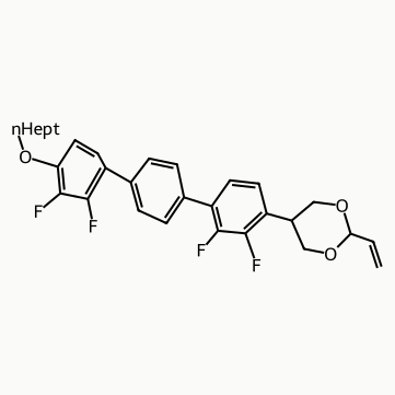 C=CC1OCC(c2ccc(-c3ccc(-c4ccc(OCCCCCCC)c(F)c4F)cc3)c(F)c2F)CO1